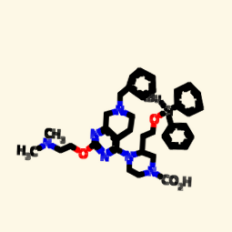 CN(C)CCOc1nc2c(c(N3CCN(C(=O)O)CC3CCO[Si](c3ccccc3)(c3ccccc3)C(C)(C)C)n1)CCN(Cc1ccccc1)C2